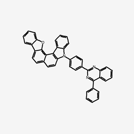 c1ccc(-c2nc(-c3ccc(-n4c5ccccc5c5c6c(ccc7c8ccccc8oc76)ccc54)cc3)nc3ccccc23)cc1